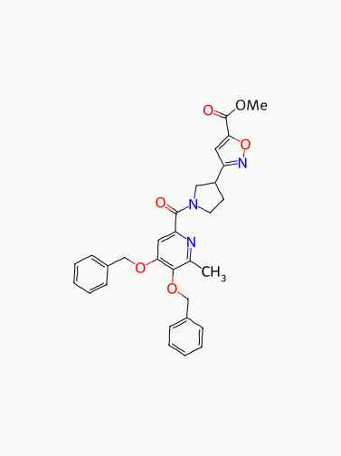 COC(=O)c1cc(C2CCN(C(=O)c3cc(OCc4ccccc4)c(OCc4ccccc4)c(C)n3)C2)no1